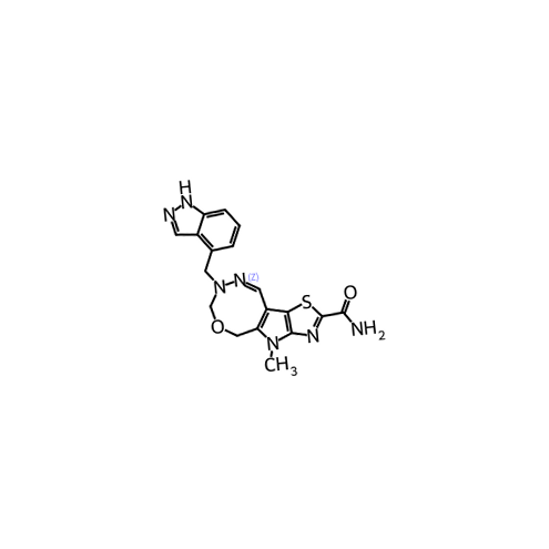 Cn1c2c(c3sc(C(N)=O)nc31)/C=N\N(Cc1cccc3[nH]ncc13)COC2